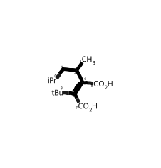 CC(C)CC(C)C(C(=O)O)=C(C(=O)O)C(C)(C)C